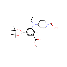 CCN(c1cc(B2OC(C)(C)C(C)(C)O2)cc(C(=O)OC)c1C)C1CCN(C(=O)O)CC1